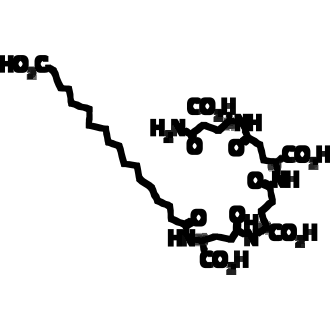 NC(=O)CC[C@H](NC(=O)CC[C@H](NC(=O)CC[C@H](NC(=O)CC[C@H](NC(=O)CCCCCCCCCCCCCCCCC(=O)O)C(=O)O)C(=O)O)C(=O)O)C(=O)O